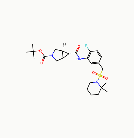 CC(C)(C)OC(=O)N1CC2[C@@H](C1)[C@@H]2C(=O)Nc1cc(CS(=O)(=O)N2CCCCC2(C)C)ccc1F